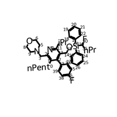 CCCCCc1c(CN2CCOCC2)nc(C(C)C)c(CO[Si](c2ccccc2)(c2ccccc2)C(F)CCC)c1-c1ccc(F)cc1